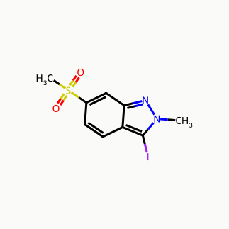 Cn1nc2cc(S(C)(=O)=O)ccc2c1I